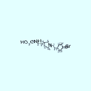 O=C(O)NCC1C2CN(CCc3ccc(Br)cc3)CC12